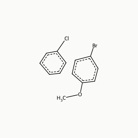 COc1ccc(Br)cc1.Clc1ccccc1